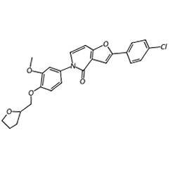 COc1cc(-n2ccc3oc(-c4ccc(Cl)cc4)cc3c2=O)ccc1OCC1CCCO1